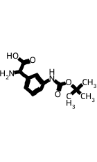 CC(C)(C)OC(=O)Nc1cccc(C(N)C(=O)O)c1